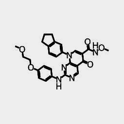 COCCOc1ccc(Nc2ncc3c(=O)c(C(=O)NOC)cn(-c4ccc5c(c4)CCC5)c3n2)cc1